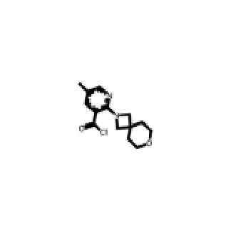 Cc1cnc(N2CC3(CCOCC3)C2)c(C(=O)Cl)c1